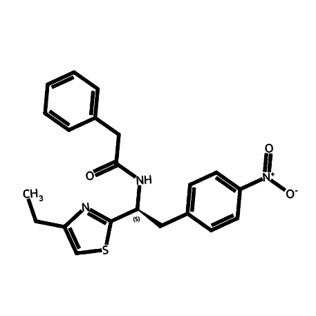 CCc1csc([C@H](Cc2ccc([N+](=O)[O-])cc2)NC(=O)Cc2ccccc2)n1